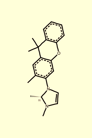 Cc1cc2c(cc1N1C=CN(C)[C@@H]1C)Oc1ccccc1C2(C)C